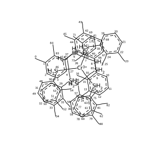 Cc1cccc([SiH2][C]([SiH2]c2cccc(C)c2C)([SiH2]c2cccc(C)c2C)[Cr+3]([C]([SiH2]c2cccc(C)c2C)([SiH2]c2cccc(C)c2C)[SiH2]c2cccc(C)c2C)[C]([SiH2]c2cccc(C)c2C)([SiH2]c2cccc(C)c2C)[SiH2]c2cccc(C)c2C)c1C